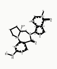 CCNc1ncc2c(n1)N1CCC[C@H]1CN(c1scc3c(=O)n(C)cnc13)C2=O